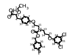 CCOC(Cc1ccc(OCCN(CCCOc2cc(Cl)cc(Cl)c2)C(=O)OCc2ccc(F)cc2)cc1)C(=O)O